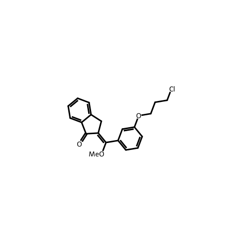 COC(=C1Cc2ccccc2C1=O)c1cccc(OCCCCl)c1